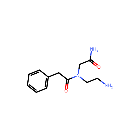 NCCN(CC(N)=O)C(=O)Cc1ccccc1